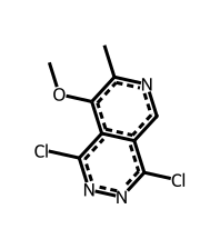 COc1c(C)ncc2c(Cl)nnc(Cl)c12